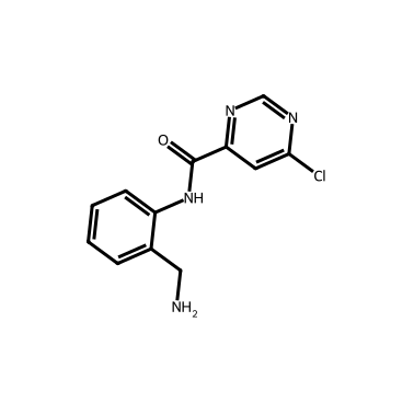 NCc1ccccc1NC(=O)c1cc(Cl)ncn1